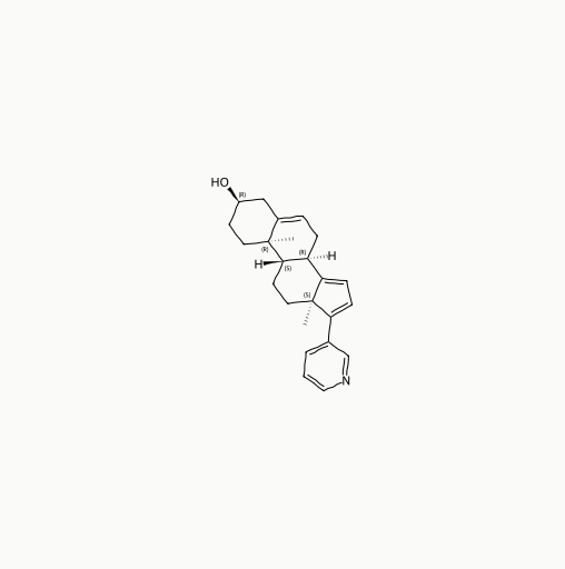 C[C@]12CC[C@H]3[C@@H](CC=C4C[C@H](O)CC[C@@]43C)C1=CC=C2c1cccnc1